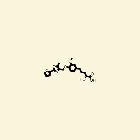 COc1cc(CCC[C@H](O)C(=O)O)ccc1OCc1nc(-c2ccco2)oc1C